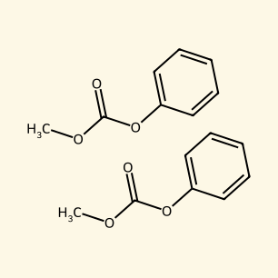 COC(=O)Oc1ccccc1.COC(=O)Oc1ccccc1